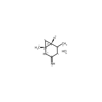 CC1CC(=N)N[C@]2(C)C[C@H]12.Cl